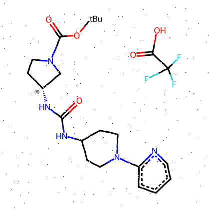 CC(C)(C)OC(=O)N1CC[C@@H](NC(=O)NC2CCN(c3ccccn3)CC2)C1.O=C(O)C(F)(F)F